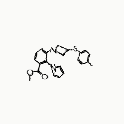 COC(=O)c1cccc(N2CC(Sc3ccc(C)cc3)C2)c1-n1cccc1